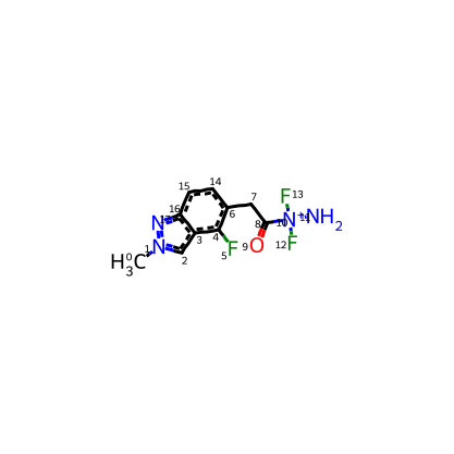 Cn1cc2c(F)c(CC(=O)[N+](N)(F)F)ccc2n1